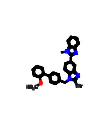 CCCc1nc2cc(-c3nc4ccccc4n3C)ccc2n1Cc1ccc(-c2ccccc2OC(=O)O)cc1